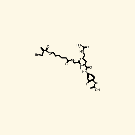 C=C(CBr)C(=O)OCCCCCC(=O)NCC(=O)NC(CCCNC(N)=O)C(=O)Nc1ccc(NC(=O)O)c(F)c1